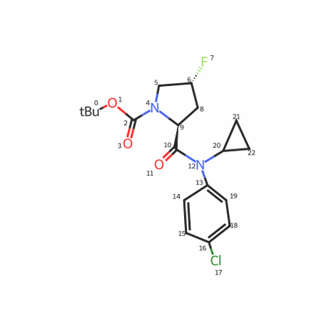 CC(C)(C)OC(=O)N1C[C@H](F)C[C@H]1C(=O)N(c1ccc(Cl)cc1)C1CC1